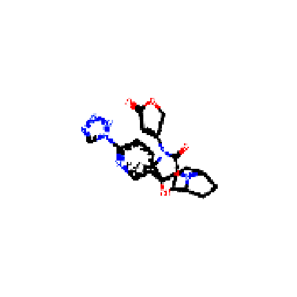 CC1CC2(CC3CCC(C2)N3C[C@@H](O)c2ccc(-n3cnnn3)nc2)C(=O)N1C1=CC(=O)OC1